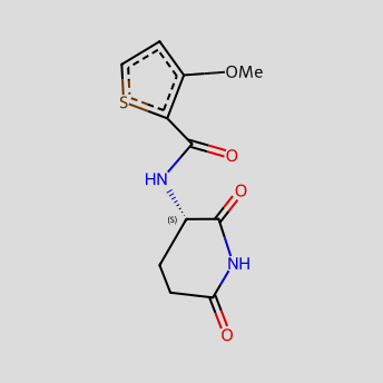 COc1ccsc1C(=O)N[C@H]1CCC(=O)NC1=O